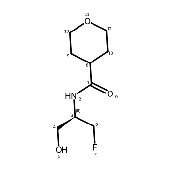 O=C(N[C@H](CO)CF)C1CCOCC1